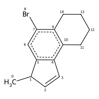 CC1C=Cc2c1cc(Br)c1c2CCCC1